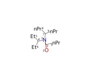 CCCC(=O)N(C(CC)CC)C(CCC)CCC